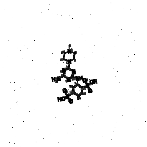 CN1CCN(c2nc(N)nc(Nc3cc(S(=O)(=O)O)ccc3S(=O)(=O)O)n2)CC1